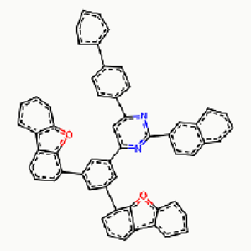 c1ccc(-c2ccc(-c3cc(-c4cc(-c5cccc6c5oc5ccccc56)cc(-c5cccc6c5oc5ccccc56)c4)nc(-c4ccc5ccccc5c4)n3)cc2)cc1